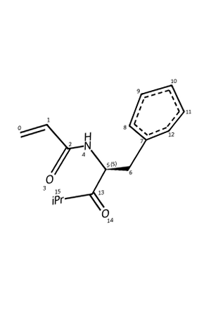 C=CC(=O)N[C@@H](Cc1ccccc1)C(=O)C(C)C